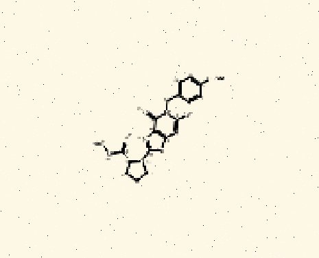 COc1ccc(Cn2c(Br)cc3sc(N4CCC[C@@H]4C(=O)OC(C)(C)C)nc3c2=O)cc1